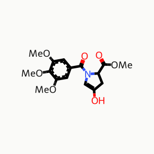 COC(=O)C1CC(O)=CN1C(=O)c1cc(OC)c(OC)c(OC)c1